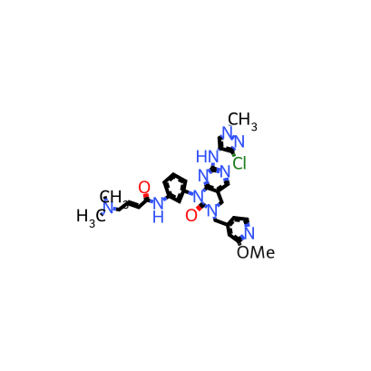 COc1cc(CN2Cc3cnc(Nc4cn(C)nc4Cl)nc3N(c3cccc(NC(=O)/C=C/CN(C)C)c3)C2=O)ccn1